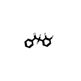 O=C(c1ccccc1)C(F)(F)c1cccc(F)c1F